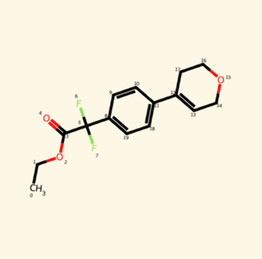 CCOC(=O)C(F)(F)c1ccc(C2=CCOCC2)cc1